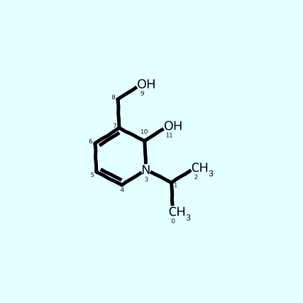 CC(C)N1C=CC=C(CO)C1O